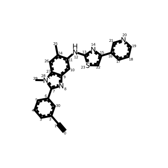 C#Cc1cccc(-c2nc3cc(Nc4nc(-c5cccnc5)cs4)c(C)cc3n2C)c1